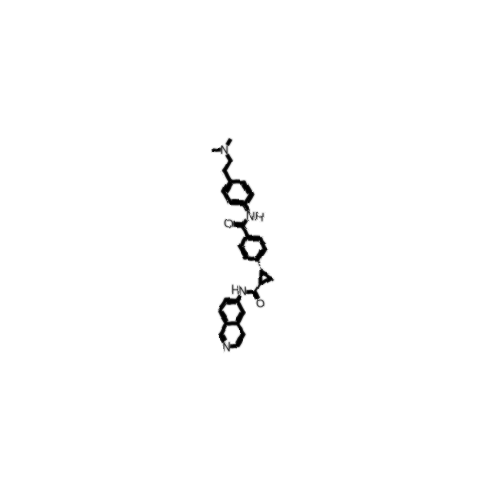 CN(C)CCc1ccc(NC(=O)c2ccc([C@@H]3C[C@H]3C(=O)Nc3ccc4cnccc4c3)cc2)cc1